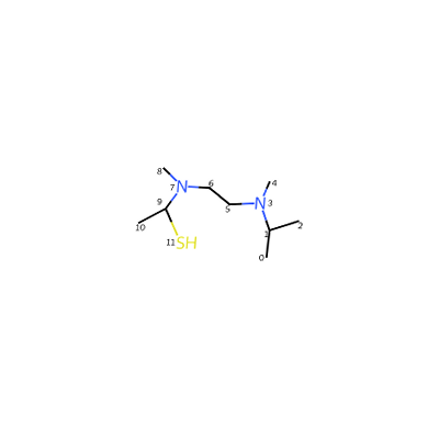 CC(C)N(C)CCN(C)C(C)S